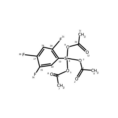 CC(=O)O[Si](OC(C)=O)(OC(C)=O)c1cc(F)c(F)cc1F